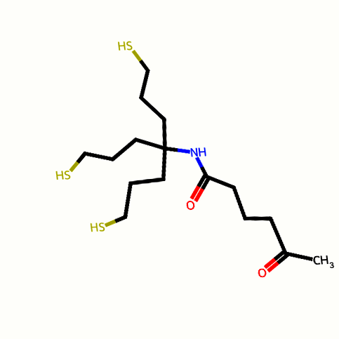 CC(=O)CCCC(=O)NC(CCCS)(CCCS)CCCS